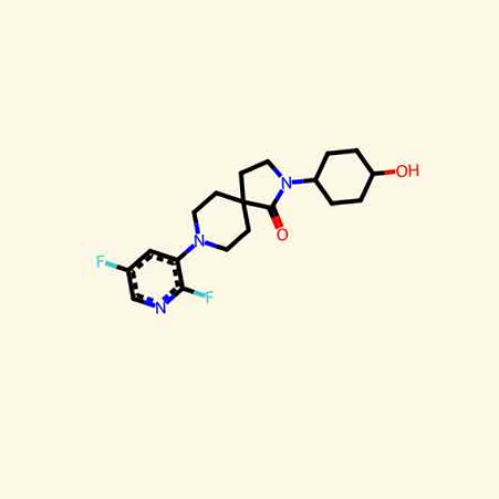 O=C1N(C2CCC(O)CC2)CCC12CCN(c1cc(F)cnc1F)CC2